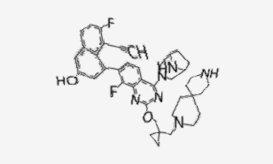 C#Cc1c(F)ccc2cc(O)cc(-c3ccc4c(N5CC6CCC(C5)N6)nc(OCC5(CN6CCC7(CCNCC7)CC6)CC5)nc4c3F)c12